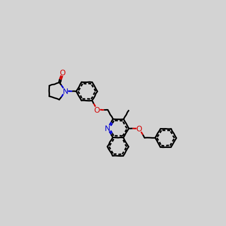 Cc1c(COc2cccc(N3CCCC3=O)c2)nc2ccccc2c1OCc1ccccc1